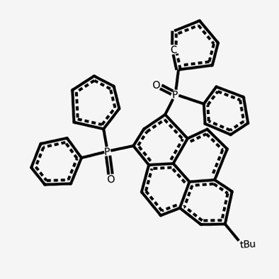 CC(C)(C)c1cc2ccc3c(P(=O)(c4ccccc4)c4ccccc4)cc(P(=O)(c4ccccc4)c4ccccc4)c4ccc(c1)c2c34